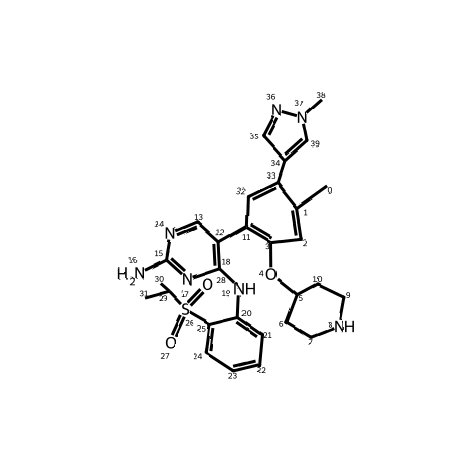 Cc1cc(OC2CCNCC2)c(-c2cnc(N)nc2Nc2ccccc2S(=O)(=O)C(C)C)cc1-c1cnn(C)c1